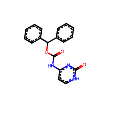 O=C(Nc1cc[nH]c(=O)n1)OC(c1ccccc1)c1ccccc1